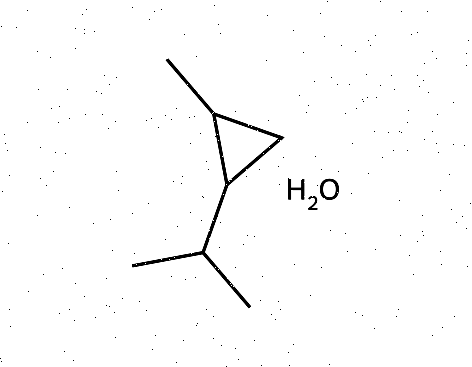 CC(C)C1CC1C.O